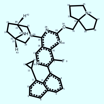 Fc1c(-c2cccc3cccc(C4CC4)c23)ncc2c(N3C[C@H]4CC[C@@H](C3)N4)nc(OCC34CCCN3CCC4)nc12